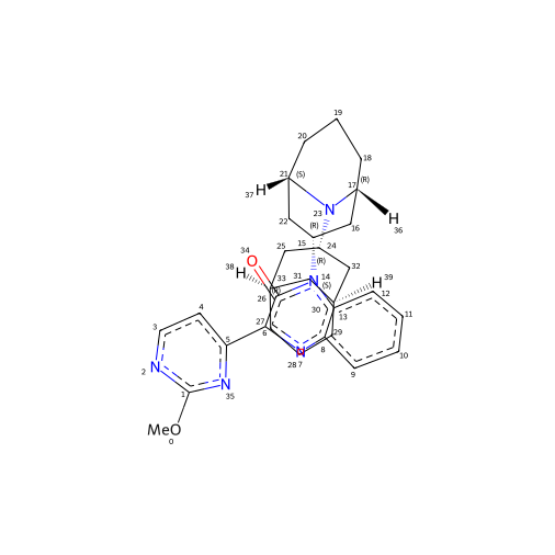 COc1nccc(-c2nc3ccccc3n([C@H]3C[C@H]4CCC[C@@H](C3)N4[C@H]3C[C@@H]4CCC[C@@H](C4)C3)c2=O)n1